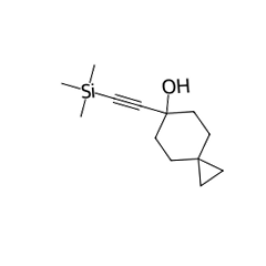 C[Si](C)(C)C#CC1(O)CCC2(CC1)CC2